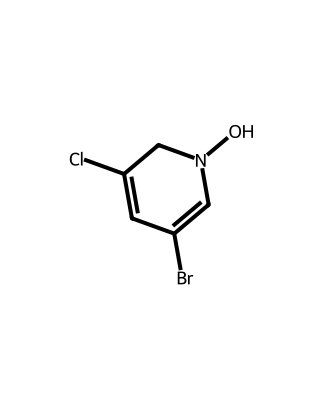 ON1C=C(Br)C=C(Cl)C1